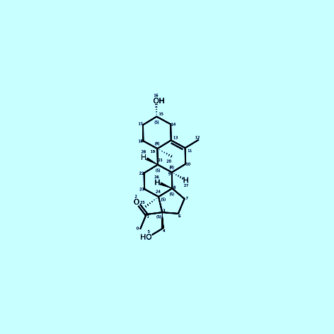 CC(=O)[C@@]1(CO)CC[C@H]2[C@@H]3CC(C)=C4C[C@@H](O)CC[C@]4(C)[C@H]3CC[C@@]21C